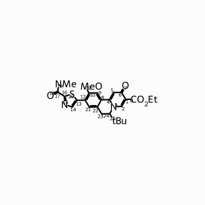 CCOC(=O)c1cn2c(cc1=O)-c1cc(OC)c(-c3cnc(C(=O)NC)s3)cc1CC2C(C)(C)C